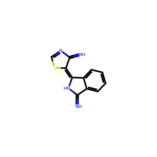 N=C1N=CSC1=C1NC(=N)c2ccccc21